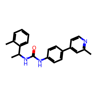 Cc1cc(-c2ccc(NC(=O)NC(C)c3ccccc3C)cc2)ccn1